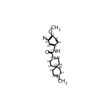 COc1ccc(NC(=O)N2CCC3(CCN(C)CC3)CC2)cc1F